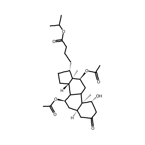 CC(=O)O[C@H]1CC2C([C@H](OC(C)=O)C[C@@H]3CC(=O)C[C@@H](O)[C@]23C)[C@@H]2CC[C@H](CCCC(=O)OC(C)C)[C@@]12C